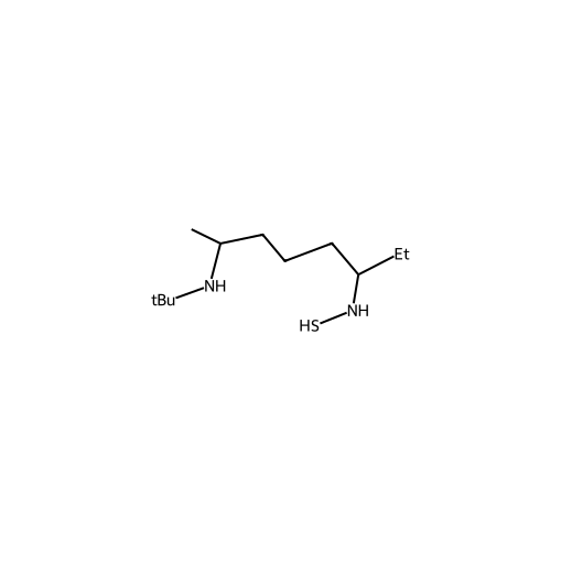 CCC(CCCC(C)NC(C)(C)C)NS